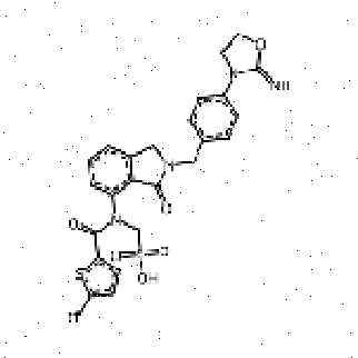 N=C1OCCN1c1ccc(CN2Cc3cccc(N(CS(=O)(=O)O)C(=O)c4ccc(Cl)s4)c3C2=O)cc1